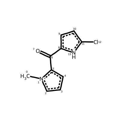 Cn1cccc1C(=O)c1ccc(Cl)[nH]1